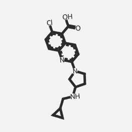 O=C(O)c1c(Cl)ccc2nc(N3CCC(NCC4CC4)C3)ccc12